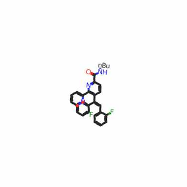 CCCCNC(=O)c1ccc(/C(=C/c2ccccc2F)c2ccccc2F)c(-c2ccccn2)n1